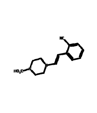 N#Cc1ccccc1C=CN1CCN(C(=O)O)CC1